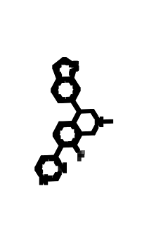 CN1Cc2c(ccc(-c3ccncn3)c2F)C(c2ccc3ccsc3c2)C1